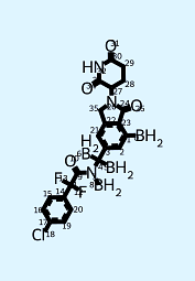 Bc1cc(C(B)(B)N(B)C(=O)C(F)(F)c2ccc(Cl)cc2)cc2c1C(=O)N(C1CCC(=O)NC1=O)C2